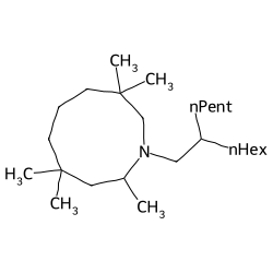 CCCCCCC(CCCCC)CN1CC(C)(C)CCCC(C)(C)CC1C